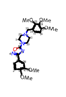 COc1ccc(-c2noc(N3CCN(Cc4ccc(OC)c(OC)c4OC)CC3)n2)cc1OC